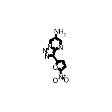 Nc1cnc2c(-c3ccc([N+](=O)[O-])o3)nnn2c1